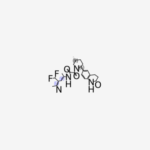 C=N/C(C)=C(\C=C(/C)NC(=O)C(=O)N1C[C@H](C)CC[C@H]1c1ccc2c(c1)CCC(=O)N2)C(F)F